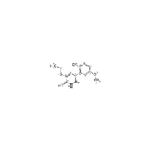 CCSc1cc(-c2cc(OC)ccc2Cl)n[nH]c1=O